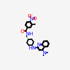 Cc1cc(C(=O)NC[C@H]2CC[C@@H](Nc3cc(N(C)C)c4ccccc4n3)CC2)ccc1[N+](=O)[O-]